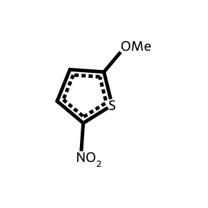 COc1ccc([N+](=O)[O-])s1